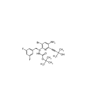 CC(C)(O)C#Cc1nc([C@H](Cc2cc(F)cc(F)c2)NC(=O)OC(C)(C)C)c(Br)cc1N